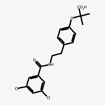 CC(C)(Oc1ccc(CCNC(=O)c2cc(Cl)cc(Cl)c2)cc1)C(=O)O